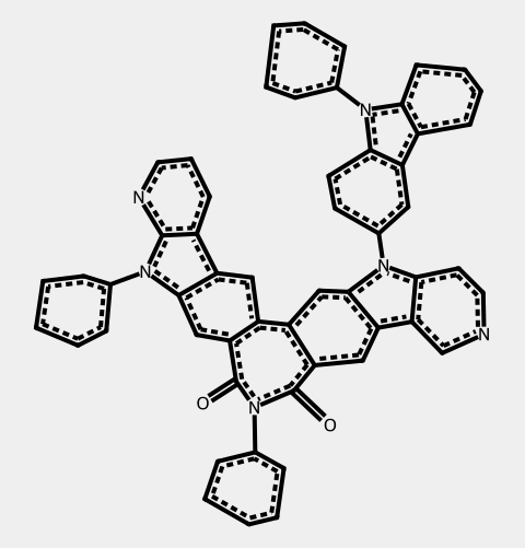 O=c1c2cc3c(cc2c2cc4c(cc2c(=O)n1-c1ccccc1)c1cnccc1n4-c1ccc2c(c1)c1ccccc1n2-c1ccccc1)c1cccnc1n3-c1ccccc1